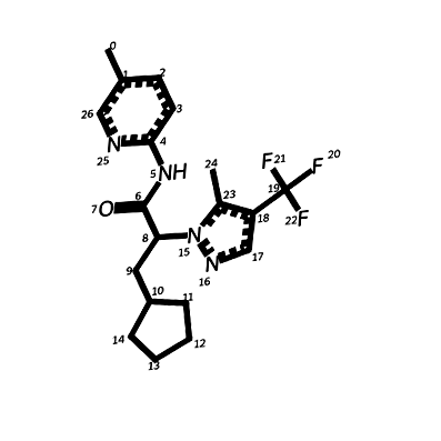 Cc1ccc(NC(=O)C(CC2CCCC2)n2ncc(C(F)(F)F)c2C)nc1